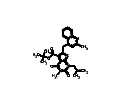 Cc1cc(Cc2sc3c(c2C(=O)OC(C)(C)C)c(=O)n(C)c(=O)n3CC(C)C)c2ccccc2n1